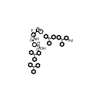 O=C(O)N[C@@H]1CCC[C@H](C(=O)Nc2cc(-c3cnn4c3CCCC4)c(F)cn2)C1.[Pd].c1ccc(P(c2ccccc2)c2ccccc2)cc1.c1ccc(P(c2ccccc2)c2ccccc2)cc1.c1ccc(P(c2ccccc2)c2ccccc2)cc1.c1ccc(P(c2ccccc2)c2ccccc2)cc1